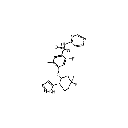 Cc1cc(S(=O)(=O)Nc2ccncn2)c(F)cc1OC1CC(F)(F)CCC1c1ccn[nH]1